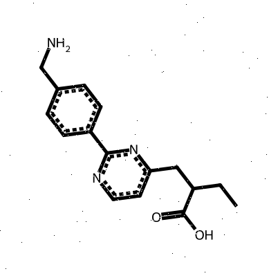 CCC(Cc1ccnc(-c2ccc(CN)cc2)n1)C(=O)O